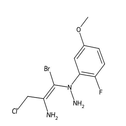 COc1ccc(F)c(N(N)/C(Br)=C(\N)CCl)c1